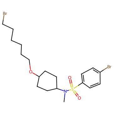 CN(C1CCC(OCCCCCCBr)CC1)S(=O)(=O)c1ccc(Br)cc1